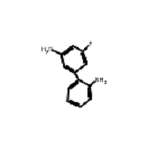 Nc1cc(F)cc(-c2ccccc2N)c1